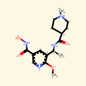 COc1ncc(C(=O)NO)cc1[C@H](C)NC(=O)C1CCN(C)CC1